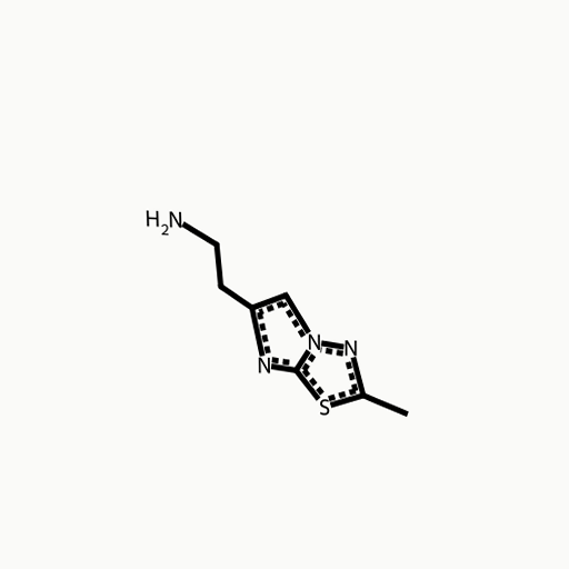 Cc1nn2cc(CCN)nc2s1